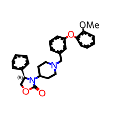 COc1ccccc1Oc1cccc(CN2CCC(N3C(=O)OC[C@H]3c3ccccc3)CC2)c1